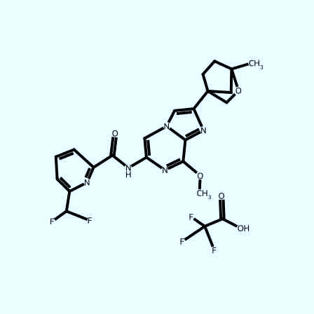 COc1nc(NC(=O)c2cccc(C(F)F)n2)cn2cc(C34CCC(C)(C3)OC4)nc12.O=C(O)C(F)(F)F